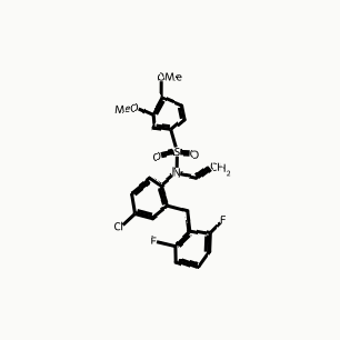 C=CN(c1ccc(Cl)cc1Cc1c(F)cccc1F)S(=O)(=O)c1ccc(OC)c(OC)c1